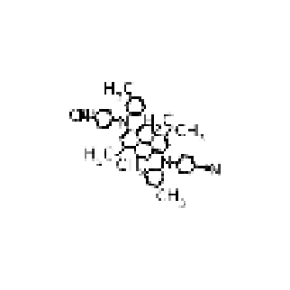 [C-]#[N+]c1ccc(N(c2cccc(C)c2)c2cc(C(C)C)c3ccc4c(N(c5ccc(C#N)cc5)c5cccc(C)c5)cc(C(C)C)c5ccc2c3c54)cc1